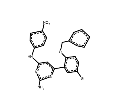 Nc1nc(Nc2ccc([N+](=O)[O-])cc2)cc(-c2cc(Br)ccc2OCc2ccccc2)n1